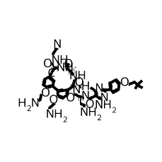 Cc1nc(-c2ccc(OCCC(C)(C)C)cc2)nc(N)c1C(=O)N[C@@H](CCN)C(=O)N(C)[C@@H]1C(=O)N[C@@H](C)C(=O)N[C@H](C(=O)NCC#N)Cc2ccc(OCCN)c(c2)-c2cc1ccc2OCCN